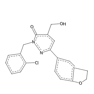 O=c1c(CO)cc(-c2ccc3c(c2)CCO3)nn1Cc1ccccc1Cl